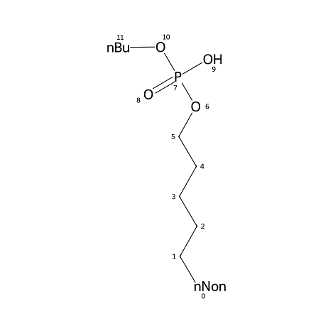 CCCCCCCCCCCCCCOP(=O)(O)OCCCC